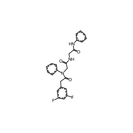 O=C(CN(C(=O)Cc1cc(F)cc(F)c1)c1ccccc1)NCC(=O)Nc1ccccc1